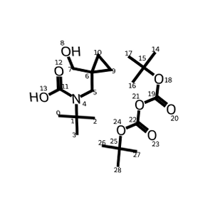 CC(C)(C)N(CC1(CO)CC1)C(=O)O.CC(C)(C)OC(=O)OC(=O)OC(C)(C)C